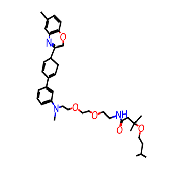 Cc1ccc2c(c1)N=C(C1C=CC(c3cccc(N(C)CCOCCOCCNC(=O)CC(C)(C)OCCC(C)C)c3)=CC1)CO2